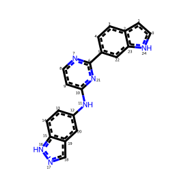 [c]1cc2ccc(-c3nccc(Nc4ccc5[nH]ncc5c4)n3)cc2[nH]1